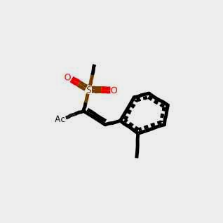 CC(=O)C(=Cc1ccccc1C)S(C)(=O)=O